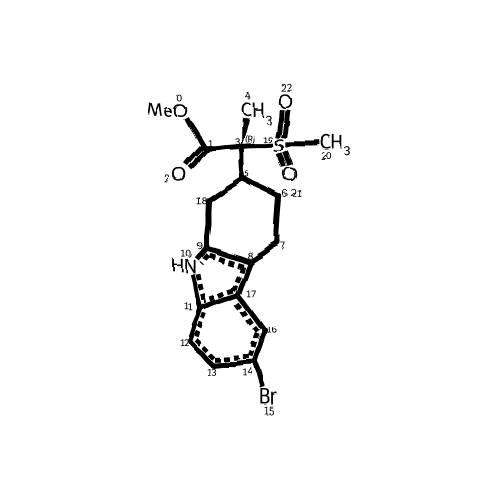 COC(=O)[C@@](C)(C1CCc2c([nH]c3ccc(Br)cc23)C1)S(C)(=O)=O